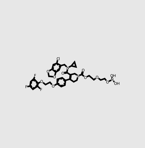 O=C(OCCOCCON(O)O)N1CCC(c2ccc(OCCOc3c(F)cc(F)cc3F)cc2)=C(C(=O)N(Cc2cc3c(cc2Cl)OCO3)C2CC2)C1